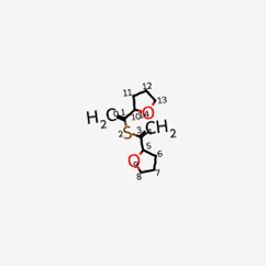 C=C(SC(=C)C1CCCO1)C1CCCO1